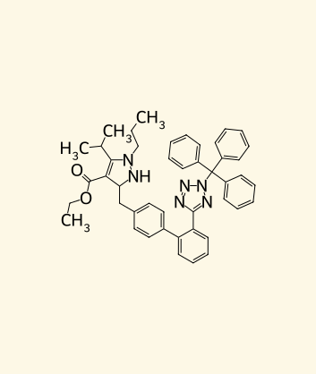 CCCN1NC(Cc2ccc(-c3ccccc3-c3nnn(C(c4ccccc4)(c4ccccc4)c4ccccc4)n3)cc2)C(C(=O)OCC)=C1C(C)C